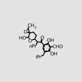 CCCC(C(=O)c1cc(CC(C)C)c(O)c(C=O)c1O)C1CCC2(OC2C)C(O)O1